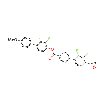 COc1ccc(-c2ccc(OC(=O)c3ccc(-c4ccc(C5CO5)c(F)c4F)cc3)c(F)c2F)cc1